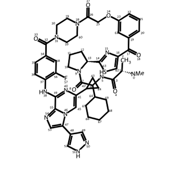 CN[C@@H](C)C(=O)NC(C(=O)N1CCC[C@H]1c1nc(C(=O)c2cccc(OCC(=O)N3CCN(C(=O)c4ccc(Nc5nc(C6CC6)cn6c(-c7cn[nH]c7)cnc56)c(F)c4)CC3)c2)cs1)C1CCCCC1